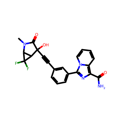 CN1C(=O)C(O)(C#Cc2cccc(-c3nc(C(N)=O)c4ccccn34)c2)C2C1C2(F)F